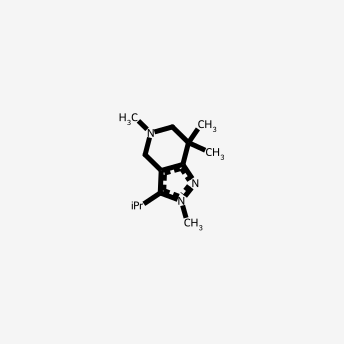 CC(C)c1c2c(nn1C)C(C)(C)CN(C)C2